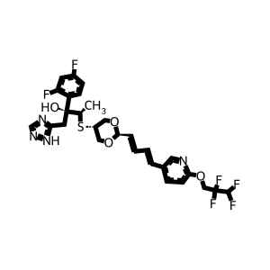 C[C@@H](S[C@H]1CO[C@H](/C=C/C=C/c2ccc(OCC(F)(F)C(F)F)nc2)OC1)[C@@](O)(Cc1ncn[nH]1)c1ccc(F)cc1F